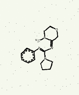 CN1CCOCC1=NC(=Nc1ccccc1)N1CCCC1